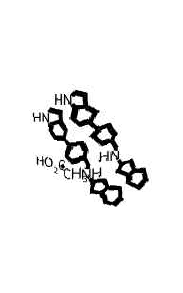 CC(=O)O.c1ccc2c(c1)CC(NCc1ccc(-c3ccc4[nH]ccc4c3)cc1)C2.c1ccc2c(c1)CC(NCc1ccc(-c3ccc4[nH]ccc4c3)cc1)C2